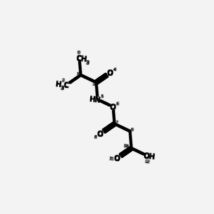 CC(C)C(=O)NOC(=O)CC(=O)O